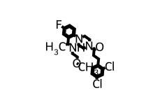 COCCNC(C)c1cc(F)ccc1N1CCN(C(=O)CCc2ccc(Cl)cc2Cl)CC1